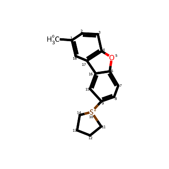 Cc1ccc2oc3ccc([S+]4CCCC4)cc3c2c1